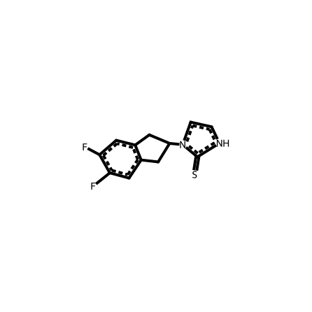 Fc1cc2c(cc1F)CC(n1cc[nH]c1=S)C2